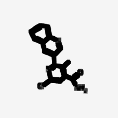 Cc1c(C(N)=O)cc(Cl)nc1-c1cnc2ccccc2c1